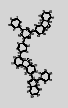 c1ccc(-c2nc(-c3ccc(-c4cccc5c4sc4ccc(-c6nc7ccccc7n6-c6ccccc6)cc45)cc3)nc(-c3ccc4oc5ccccc5c4c3)n2)cc1